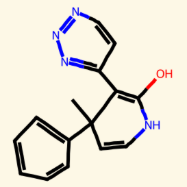 CC1(c2ccccc2)C=CNC(O)=C1c1ccnnn1